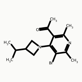 CC(=O)c1c(C)nc(C)c(Br)c1N1CC(C(C)C)C1